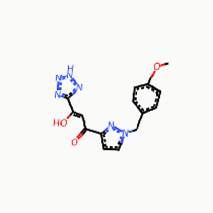 COc1ccc(Cn2ccc(C(=O)C=C(O)c3nn[nH]n3)n2)cc1